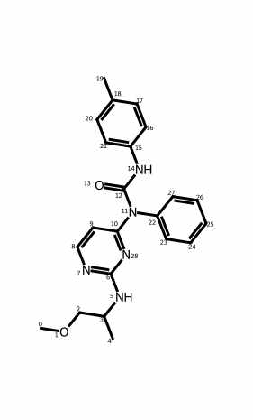 COCC(C)Nc1nccc(N(C(=O)Nc2ccc(C)cc2)c2ccccc2)n1